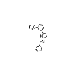 FC(F)(F)c1cccc(N2CCC(N=Cc3ccccc3)=N2)c1